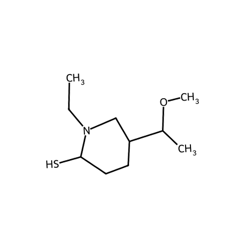 CCN1CC(C(C)OC)CCC1S